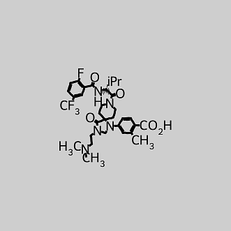 Cc1cc(N2CN(CCN(C)C)C(=O)C23CCN(C(=O)[C@H](NC(=O)c2cc(C(F)(F)F)ccc2F)C(C)C)CC3)ccc1C(=O)O